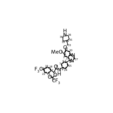 COc1cc2c(-c3ccc(NC(=O)C(OC(=O)C(F)(F)F)c4ccc(C(F)(F)F)cc4)cc3)ncnc2cc1OCC1CCNCC1